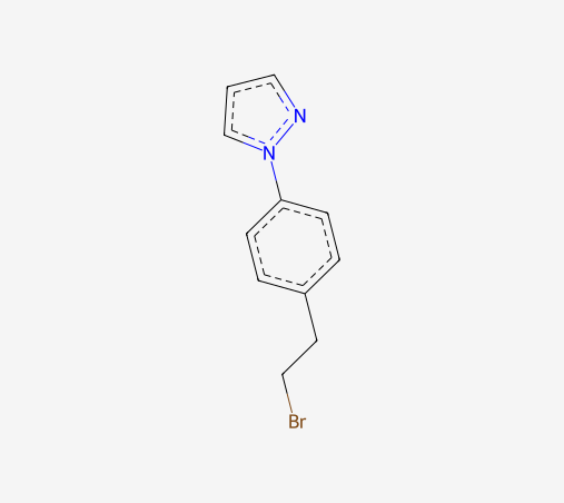 BrCCc1ccc(-n2cccn2)cc1